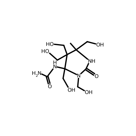 CC1(CO)NC(=O)N(CO)C(CO)(NC(N)=O)C1(CO)CO